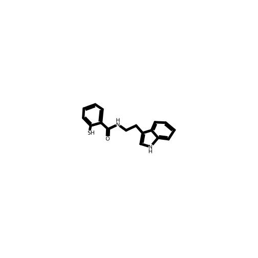 O=C(NCCc1c[nH]c2ccccc12)c1ccccc1S